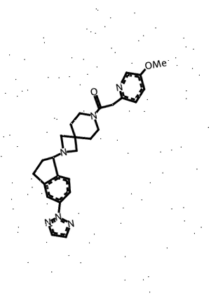 COc1ccc(CC(=O)N2CCC3(CC2)CN(C2CCc4cc(-n5nccn5)ccc42)C3)nc1